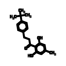 Cc1cc(O)c(C(=O)CCc2ccc(C(C)(C)C)cc2)c(O)c1